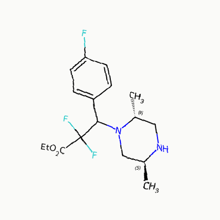 CCOC(=O)C(F)(F)C(c1ccc(F)cc1)N1C[C@H](C)NC[C@H]1C